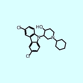 OC1CCN(C2CCCCC2)CC1n1c2ccc(Cl)cc2c2cc(Cl)ccc21